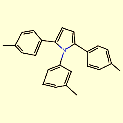 Cc1ccc(-c2ccc(-c3ccc(C)cc3)n2-c2cccc(C)c2)cc1